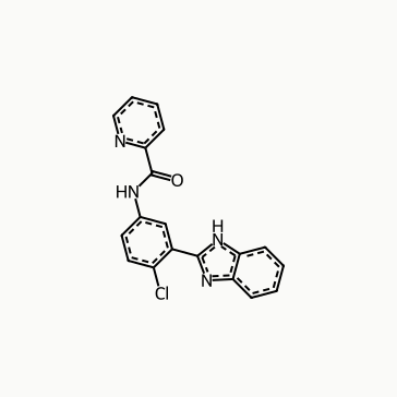 O=C(Nc1ccc(Cl)c(-c2nc3ccccc3[nH]2)c1)c1ccccn1